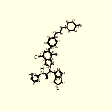 C=C(Nc1ncc[nH]1)C(c1ncn2c1C[C@@H](F)C2)n1cc2c(Cl)cc(-c3ccc(CCCN4CCC(C)CC4)cc3)c(C)c2n1